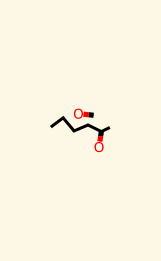 C=O.CCCCC(C)=O